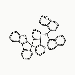 c1ccc2c(c1)-c1c(N(c3cccc4ccccc34)c3cccc4ccccc34)cccc1C21c2ccccc2-c2c1sc1ccccc21